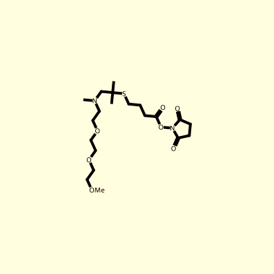 COCCOCCOCCN(C)CC(C)(C)SCCCC(=O)ON1C(=O)CCC1=O